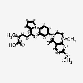 CSc1ncc2c(n1)N(C)CCN(c1cccc(OC(CCN(C)C(=O)O)c3cccs3)c1)C2=O